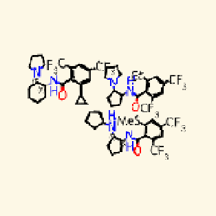 CCc1cc(C(F)(F)F)cc(C(F)(F)F)c1C(=O)NC1CCCC1N1CCCC1.CSc1cc(C(F)(F)F)cc(C(F)(F)F)c1C(=O)N[C@@H]1CCC[C@@H]1NC1CCCC1.O=C(N[C@@H]1CCCC[C@@H]1N1CCCC1)c1c(C2CC2)cc(C(F)(F)F)cc1C(F)(F)F